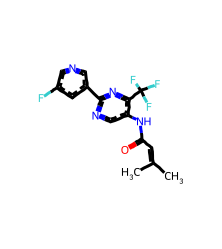 CC(C)=CC(=O)Nc1cnc(-c2cncc(F)c2)nc1C(F)(F)F